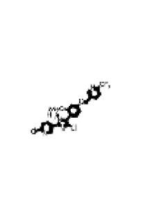 COc1cc(OCc2ccc(C(F)(F)F)nc2)ccc1-c1c(Cl)nc(-c2ccc(Cl)nc2)n1C